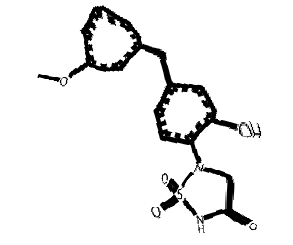 COc1cccc(Cc2ccc(N3CC(=O)NS3(=O)=O)c(O)c2)c1